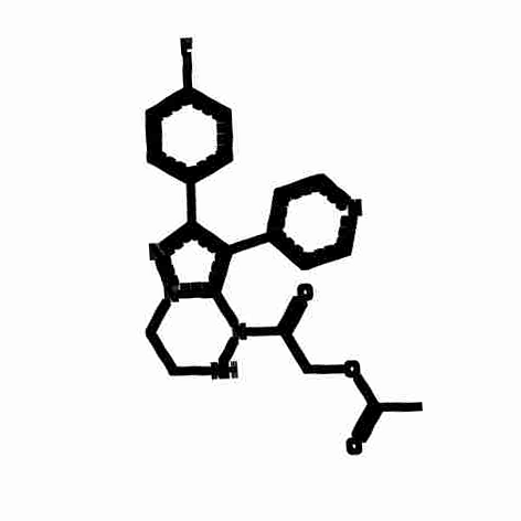 CC(=O)OCC(=O)N1NCCn2nc(-c3ccc(F)cc3)c(-c3ccncc3)c21